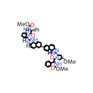 COC[C@H]1C[C@@H](C2=NC3C=Cc4cc([C@@H]5C=C6C=C[C@@H]7N=C([C@@H]8[C@@H]9CC[C@@H](C9)N8C(=O)[C@@H](NC(=O)OC)C(C)C)NC7C6=CC5)ccc4[C@H]3N2)N(C(=O)[C@H](NC(=O)OC)c2ccccc2)C1